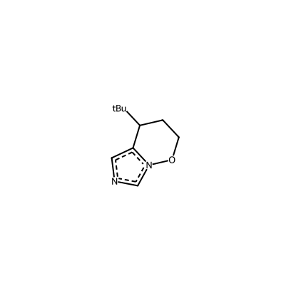 CC(C)(C)C1CCOn2cncc21